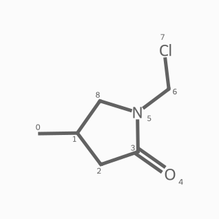 CC1CC(=O)N(CCl)C1